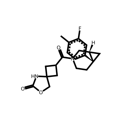 Cc1ccc([C@@]23CCN(C(=O)C4CC5(COC(=O)N5)C4)C[C@@H]2C3)cc1F